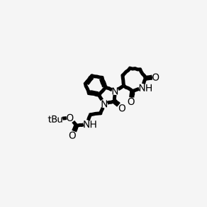 CC(C)(C)OC(=O)NCCn1c(=O)n(C2CCCC(=O)NC2=O)c2ccccc21